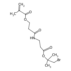 C=C(C)C(=O)OCCC(=O)NCCC(=O)OC(C)(C)CBr